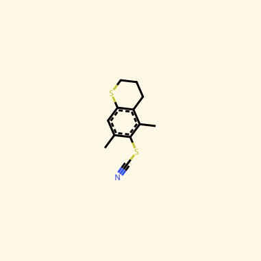 Cc1cc2c(c(C)c1SC#N)CCCS2